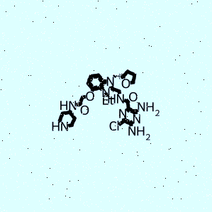 CC[n+]1c(CNC(=O)c2nc(Cl)c(N)nc2N)n(C[C@@H]2CCCO2)c2cccc(OCC(=O)NC3CCNCC3)c21